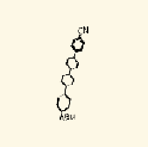 CCCC[C@H]1CC[C@H]([C@H]2CC[C@H]([C@H]3CC[C@H](c4ccc(C#N)cc4)CC3)CC2)CC1